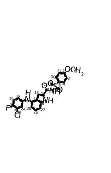 COc1ccc(S(=O)(=O)NC(=O)c2cc3c(Nc4ccc(F)c(Cl)c4)cccc3[nH]2)cc1